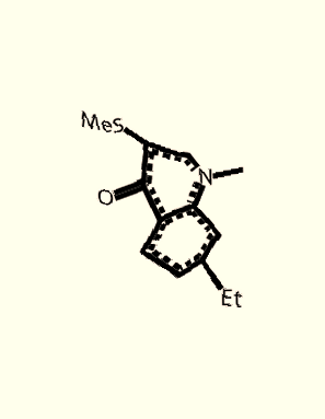 CCc1ccc2c(=O)c(SC)cn(C)c2c1